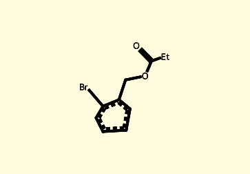 CCC(=O)OCc1ccccc1Br